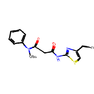 CC(C)CON(C(=O)CC(=O)Nc1nc(CC(=O)O)cs1)c1ccccc1